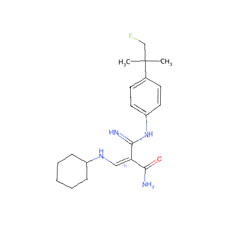 CC(C)(CF)c1ccc(NC(=N)/C(=C\NC2CCCCC2)C(N)=O)cc1